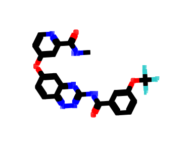 CNC(=O)c1cc(Oc2ccc3nnc(NC(=O)c4cccc(OC(F)(F)F)c4)nc3c2)ccn1